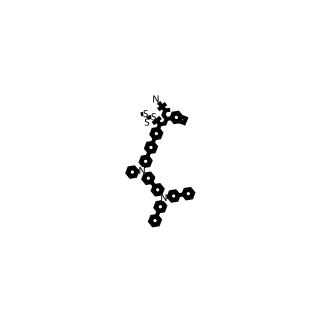 CSC(=S)SC(C)(C)C(CC(CC(C)C(C)(C)C#N)c1ccc2c(c1)CC2)c1ccc(-c2ccc(-c3ccc(N(c4ccccc4)c4ccc(-c5ccc(N(c6ccc(-c7ccccc7)cc6)c6ccc(-c7ccccc7)cc6)cc5)cc4)cc3)cc2)cc1